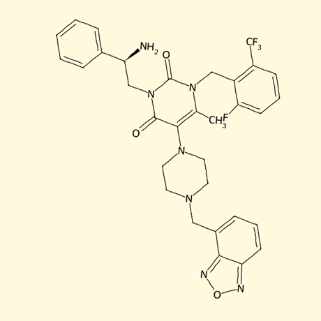 Cc1c(N2CCN(Cc3cccc4nonc34)CC2)c(=O)n(C[C@H](N)c2ccccc2)c(=O)n1Cc1c(F)cccc1C(F)(F)F